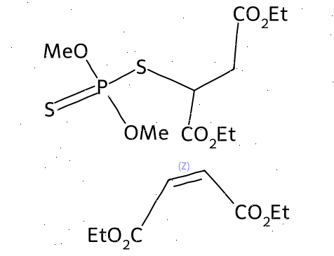 CCOC(=O)/C=C\C(=O)OCC.CCOC(=O)CC(SP(=S)(OC)OC)C(=O)OCC